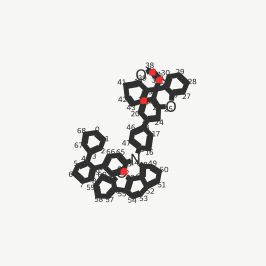 c1ccc(-c2ccccc2-c2ccc(N(c3ccc(-c4ccc5c(c4)Oc4ccccc4C54c5ccccc5Oc5ccccc54)cc3)c3cccc4ccc5c6ccccc6oc5c34)cc2)cc1